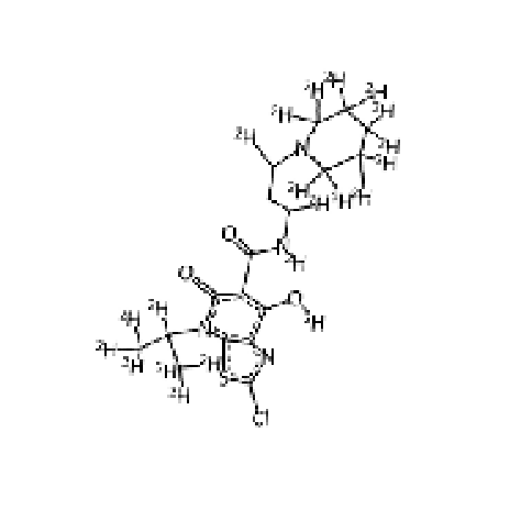 [2H]Oc1c(C(=O)N([2H])C([2H])CC([2H])N2C([2H])([2H])C([2H])([2H])C([2H])([2H])C([2H])([2H])C2([2H])[2H])c(=O)n(C([2H])(C([2H])([2H])[2H])C([2H])([2H])[2H])c2sc(Cl)nc12